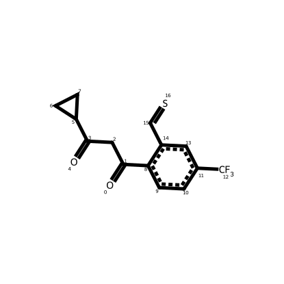 O=C(CC(=O)C1CC1)c1ccc(C(F)(F)F)cc1C=S